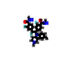 CNC(=O)c1ccc(C(F)=C(c2ccc(C(=O)NC)c(F)c2)n2c3c(c4cc(C)ccc42)CN(C)CC3)cc1F